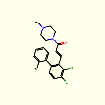 CC(=O)N1CCN(C(=O)/C=C/c2c(-c3ccccc3C(C)C)c[c]c(Cl)c2Cl)CC1